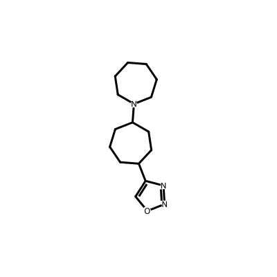 c1onnc1C1CCCC(N2CCCCCC2)CC1